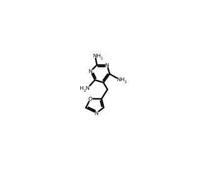 Nc1nc(N)c(Cc2cnco2)c(N)n1